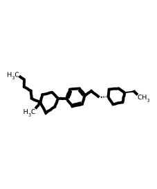 CCCCCC1(C)CCC(c2ccc(CC[C@H]3CC[C@H](CC)CC3)cc2)CC1